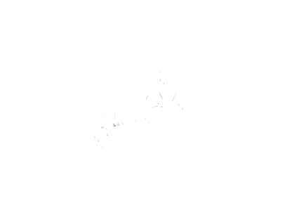 CN1CC[C@@](O)(C#Cc2cccc(-c3nc(C(N)=O)c(NC[C@@H]4CCO4)cc3F)c2)C1=O